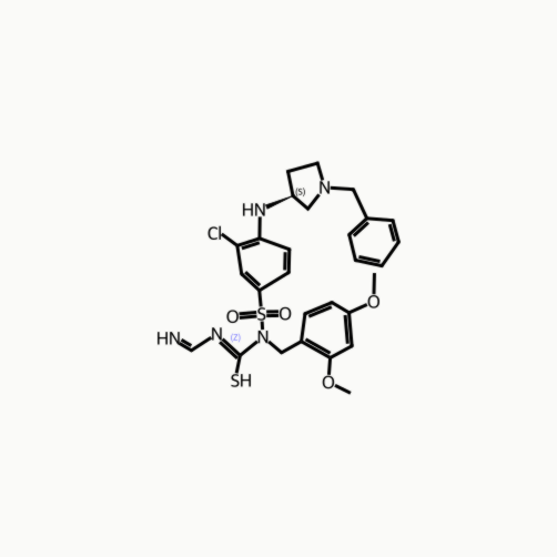 COc1ccc(CN(/C(S)=N/C=N)S(=O)(=O)c2ccc(N[C@H]3CCN(Cc4ccccc4)C3)c(Cl)c2)c(OC)c1